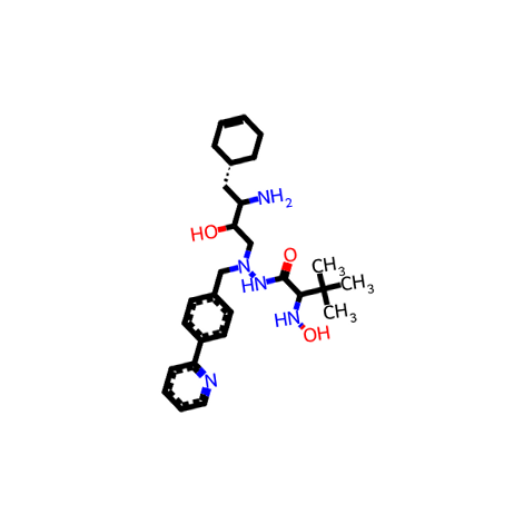 CC(C)(C)C(NO)C(=O)NN(Cc1ccc(-c2ccccn2)cc1)CC(O)C(N)C[C@@H]1CC=CCC1